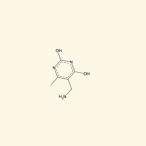 Cc1nc(O)nc(O)c1CN